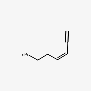 C#C/C=C\CCCCC